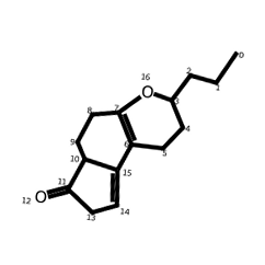 CCCC1CCC2=C(CCC3C(=O)CC=C23)O1